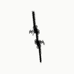 CCCCCCCCCCCCCCCCCC(=O)Oc1ccc(C(=O)N(N)C(=O)CCCCCCCCC(=O)N(N)C(=O)c2ccc(OC(=O)CCCCCCCCCCCCCCCCC)cc2O)c(O)c1